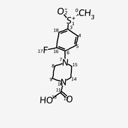 C[S@@+]([O-])c1ccc(N2CCN(C(=O)O)CC2)c(F)c1